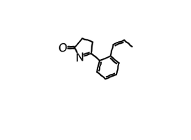 C/C=C\c1ccccc1C1=NC(=O)CC1